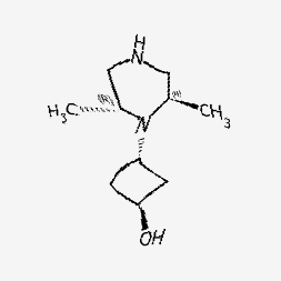 C[C@@H]1CNC[C@@H](C)N1[C@H]1C[C@H](O)C1